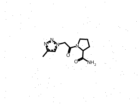 Cc1cn(CC(=O)N2CCCC2C(N)=O)nn1